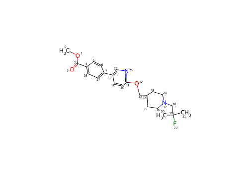 COC(=O)c1ccc(-c2ccc(OCC3CCN(CC(C)(C)F)CC3)nc2)cc1